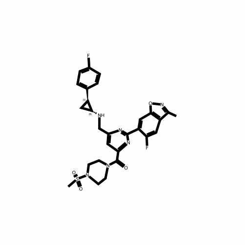 Cc1noc2cc(-c3nc(CN[C@@H]4C[C@H]4c4ccc(F)cc4)cc(C(=O)N4CCN(S(C)(=O)=O)CC4)n3)c(F)cc12